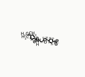 CC(C)(C)c1ccc(S(=O)(=O)NN=Cc2ccc(-c3ccc([N+](=O)[O-])cc3)o2)cc1